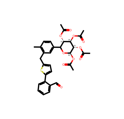 CC(=O)O[C@H]1OC(c2ccc(C)c(Cc3ccc(-c4ccccc4C=O)s3)c2)[C@H](OC(C)=O)[C@@H](OC(C)=O)[C@@H]1OC(C)=O